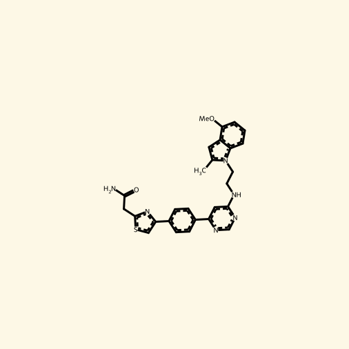 COc1cccc2c1cc(C)n2CCNc1cc(-c2ccc(-c3csc(CC(N)=O)n3)cc2)ncn1